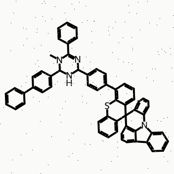 CN1C(c2ccccc2)=NC(c2ccc(-c3cccc4c3Sc3ccccc3C43c4ccccc4-n4c5ccccc5c5cccc3c54)cc2)NC1c1ccc(-c2ccccc2)cc1